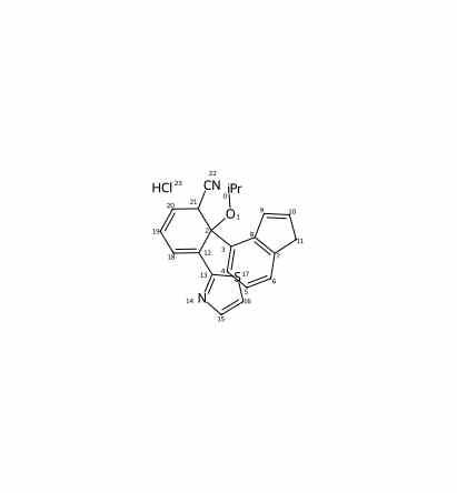 CC(C)OC1(c2cccc3c2C=CC3)C(c2nccs2)=CC=CC1C#N.Cl